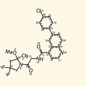 COC1(C#N)CC(F)(F)CN1C(=O)CNC(=O)c1ccnc2ccc(-c3ccc(Cl)cc3)cc12